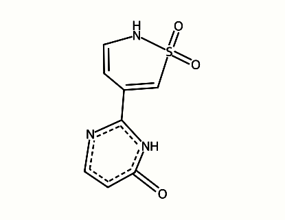 O=c1ccnc(C2=CS(=O)(=O)NC=C2)[nH]1